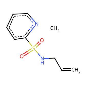 C.C=CCNS(=O)(=O)c1ccccn1